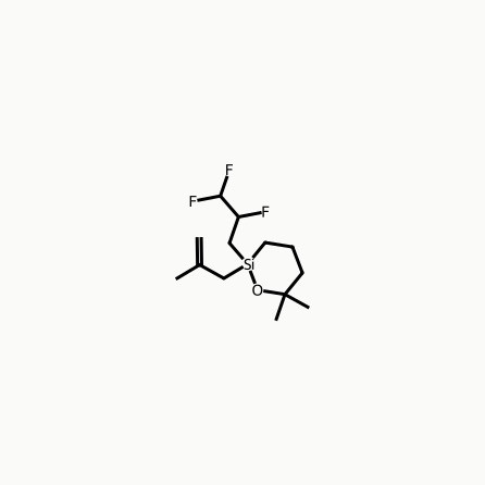 C=C(C)C[Si]1(CC(F)C(F)F)CCCC(C)(C)O1